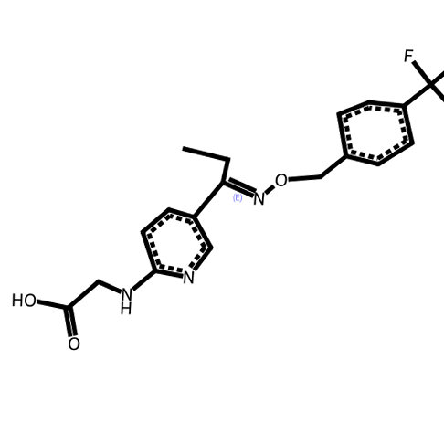 CC/C(=N\OCc1ccc(C(F)(F)F)cc1)c1ccc(NCC(=O)O)nc1